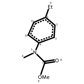 CCc1ccc(N(C)C(=O)OC)cc1